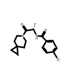 C[C@H](NC(=O)c1ccc(Cl)cc1)C(=O)N1CCC2(CC1)CC2